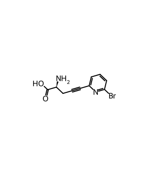 N[C@@H](CC#Cc1cccc(Br)n1)C(=O)O